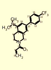 C=CC(=O)N1CCc2c(cc(-c3ccc(C(F)(F)F)cc3)cc2N(C)C)C1